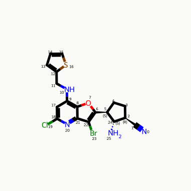 N#C[C@@H]1CC[C@H](c2oc3c(NCc4cccs4)cc(Cl)nc3c2Br)[C@H]1N